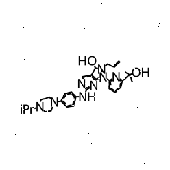 C=CCN1C(O)c2cnc(Nc3ccc(N4CCN(C(C)C)CC4)cc3)nc2N1c1cccc(C(C)(C)O)n1